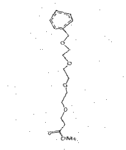 COC(=O)CCOCCOCCOCCOCc1ccccc1